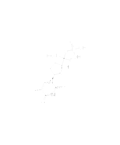 Cc1cn([C@H]2C[C@H](O)[C@@](F)(C(F)(F)OP(=O)(O)O)O2)c(=O)[nH]c1=O